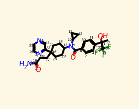 CC(O)(c1ccc(C(=O)N(C2CC2)C2CCC(CCC(N)=O)(c3cnccn3)CC2)cc1)C(F)(F)F